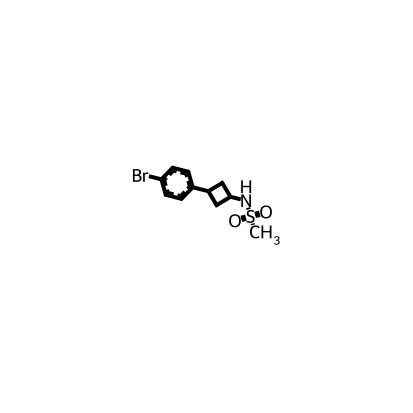 CS(=O)(=O)NC1CC(c2ccc(Br)cc2)C1